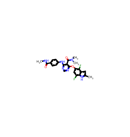 CNC(=O)c1ccc(Nc2ncnc(Oc3cc(F)c4[nH]c(C)cc4c3F)c2C(=O)N(C)C)cc1